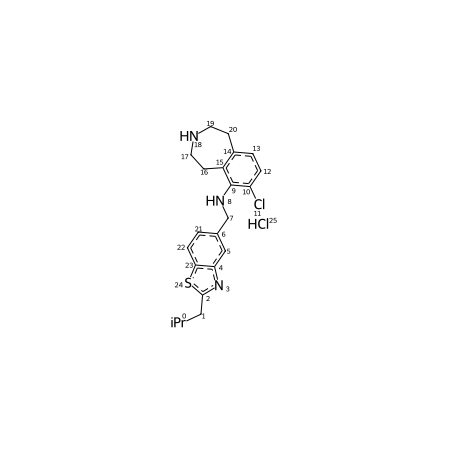 CC(C)Cc1nc2cc(CNc3c(Cl)ccc4c3CCNCC4)ccc2s1.Cl